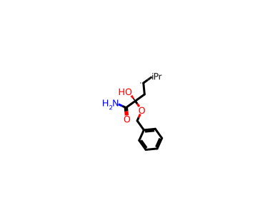 CC(C)[CH]C[C@](O)(OCc1ccccc1)C(N)=O